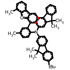 Cc1ccc(N(c2ccc3c(c2)C(C)(C)c2ccccc2-3)c2ccc3c(c2)C(C)(C)c2cc(C(C)(C)C)ccc2-3)c(-c2cccc3c2oc2c(C)cccc23)c1